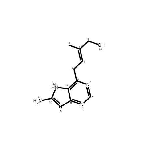 C/C(=C\Cc1ncnc2nc(N)[nH]c12)CO